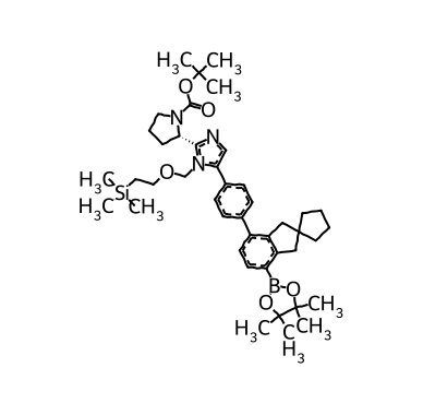 CC(C)(C)OC(=O)N1CCC[C@H]1c1ncc(-c2ccc(-c3ccc(B4OC(C)(C)C(C)(C)O4)c4c3CC3(CCCC3)C4)cc2)n1COCC[Si](C)(C)C